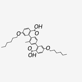 CCCCCCOc1ccc(C(=O)O)c(-c2ccc(-c3cc(OCCCCCC)ccc3C(=O)O)c(C)c2)c1